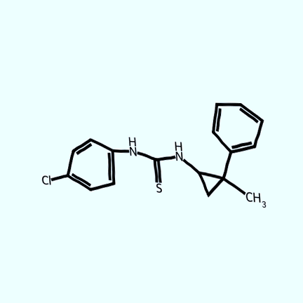 CC1(c2ccccc2)CC1NC(=S)Nc1ccc(Cl)cc1